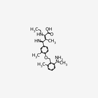 CCN/C(C(=O)O)=C(/C)C(=N)c1ccc(OCc2c(C)cccc2N(C)N)c(C)c1